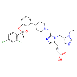 CCn1cncc1Cn1c(/C=C/C(=O)O)cnc1CN1CCC(c2cccc3c2O[C@](C)(c2ccc(Cl)cc2F)O3)CC1